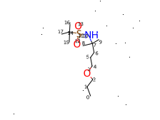 CCCOCCCC(C)(C)NS(=O)(=O)C(C)(C)C